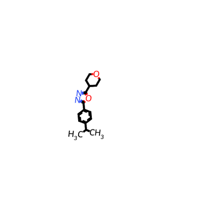 CC(C)c1ccc(-c2nnc(C3CCOCC3)o2)cc1